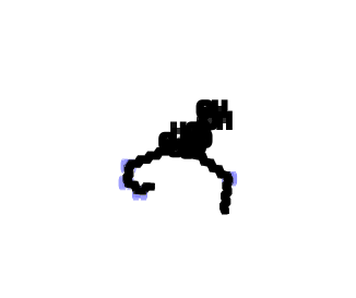 CC/C=C\C/C=C\C/C=C\CCCCCCCC(=O)OC[C@H](COP(=O)(O)OC[C@@H](O)CO)OC(=O)CCCCCCC/C=C\CCCCCC